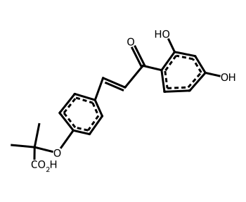 CC(C)(Oc1ccc(C=CC(=O)c2ccc(O)cc2O)cc1)C(=O)O